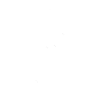 FC(F)(F)c1cccc(Nc2nnc(-c3ccccc3SCc3ccncc3)s2)c1